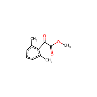 COC(=O)C(=O)c1c(C)cccc1C